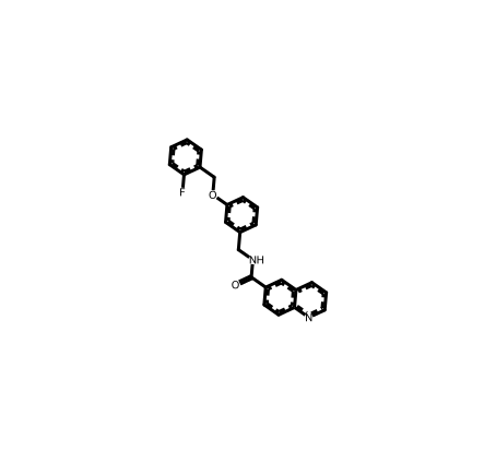 O=C(NCc1cccc(OCc2ccccc2F)c1)c1ccc2ncccc2c1